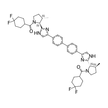 C[C@H]1CCN(C(=O)C2CCC(F)(F)CC2)[C@@H]1c1nc(-c2ccc(-c3ccc(-c4c[nH]c([C@@H]5[C@@H](C)CCN5C(=O)C5CCC(F)(F)CC5)n4)cc3)cc2)c[nH]1